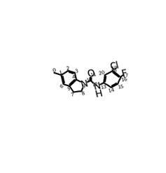 Cc1ccc2c(c1)CCN2C(=O)Nc1ccc(F)c(Cl)c1